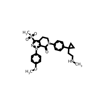 CNCCC1(c2ccc(N3CCc4c(S(C)(=O)=O)nn(-c5ccc(OC)cc5)c4C3=O)cc2)CC1